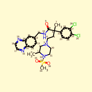 CC1CN(CCC(C)(C(=O)NCc2ccc3nccnc3c2)c2ccc(Cl)c(Cl)c2)CCN1S(C)(=O)=O